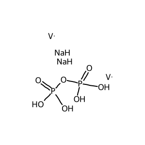 O=P(O)(O)OP(=O)(O)O.[NaH].[NaH].[V].[V]